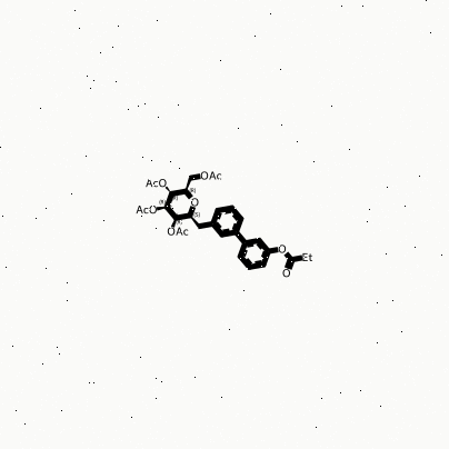 CCC(=O)Oc1cccc(-c2cccc(C[C@@H]3O[C@H](COC(C)=O)[C@@H](OC(C)=O)[C@H](OC(C)=O)[C@@H]3OC(C)=O)c2)c1